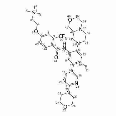 CS(C)(C)CCOc1cc(C(F)(F)F)c(C(=O)Nc2cc(-c3cnc(N4CCOCC4)nc3)c(F)cc2N2CCN3CCOCC3C2)cn1